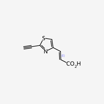 C#Cc1nc(/C=C/C(=O)O)cs1